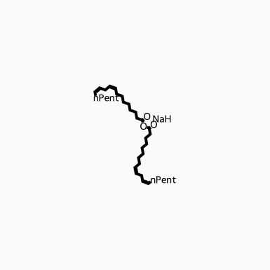 CCCCC/C=C\C/C=C\CCCCCCCC(=O)OC(=O)CCCCCCC/C=C\C/C=C\CCCCC.[NaH]